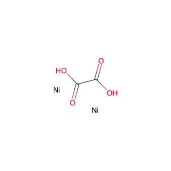 O=C(O)C(=O)O.[Ni].[Ni]